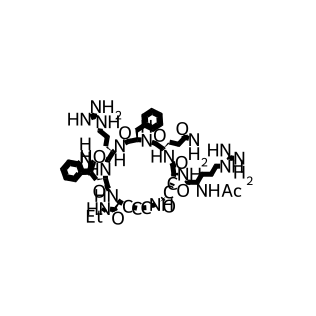 CCNC(=O)[C@@H]1CCCNC(=O)CC[C@H](NC(=O)[C@H](CCCNC(=N)N)NC(C)=O)C(=O)N[C@@H](CCC(N)=O)C(=O)N[C@H](Cc2ccccc2)C(=O)N[C@@H](CCCNC(=N)N)C(O)N[C@@H](Cc2c[nH]c3ccccc23)C(=O)N1